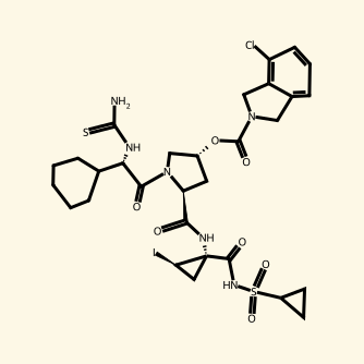 NC(=S)N[C@H](C(=O)N1C[C@H](OC(=O)N2Cc3cccc(Cl)c3C2)C[C@H]1C(=O)N[C@]1(C(=O)NS(=O)(=O)C2CC2)C[C@H]1I)C1CCCCC1